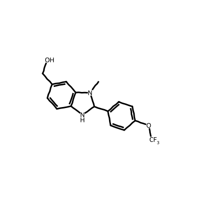 CN1c2cc(CO)ccc2NC1c1ccc(OC(F)(F)F)cc1